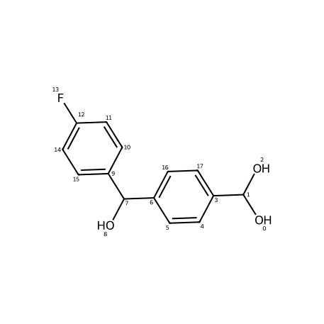 OC(O)c1ccc(C(O)c2ccc(F)cc2)cc1